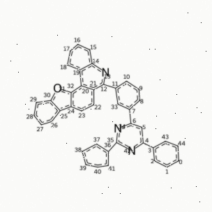 c1ccc(-c2cc(-c3cccc(-c4nc5ccccc5c5c4ccc4c6ccccc6oc45)c3)nc(-c3ccccc3)n2)cc1